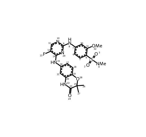 CNS(=O)(=O)c1ccc(Nc2ncc(F)c(Nc3ccc4c(c3)NC(=O)C(C)(C)O4)n2)cc1OC